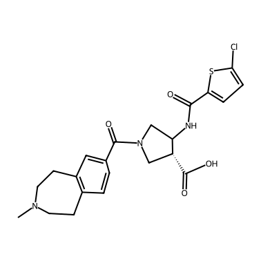 CN1CCc2ccc(C(=O)N3CC(NC(=O)c4ccc(Cl)s4)[C@H](C(=O)O)C3)cc2CC1